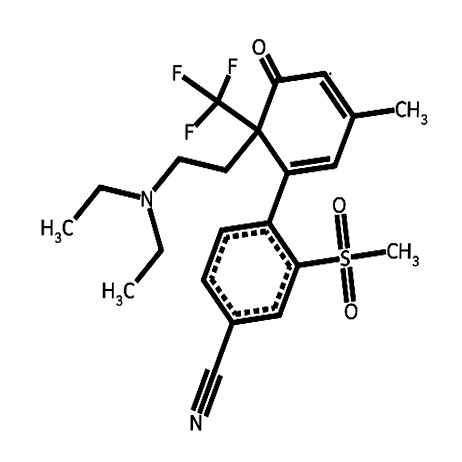 CCN(CC)CCC1(C(F)(F)F)C(=O)[C]=C(C)C=C1c1ccc(C#N)cc1S(C)(=O)=O